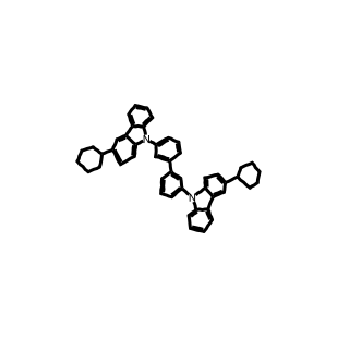 c1cc(-c2cccc(-n3c4ccccc4c4cc(C5CCCCC5)ccc43)c2)cc(-n2c3ccccc3c3cc(C4CCCCC4)ccc32)c1